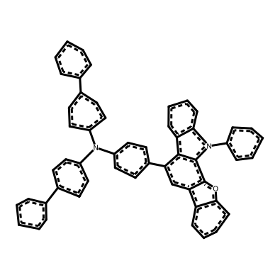 c1ccc(-c2ccc(N(c3ccc(-c4ccccc4)cc3)c3ccc(-c4cc5c6ccccc6oc5c5c4c4ccccc4n5-c4ccccc4)cc3)cc2)cc1